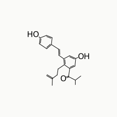 C=C(C)CCc1c(C=Cc2ccc(O)cc2)cc(O)cc1C(=O)C(C)C